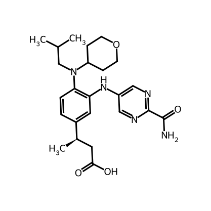 CC(C)CN(c1ccc([C@H](C)CC(=O)O)cc1Nc1cnc(C(N)=O)nc1)C1CCOCC1